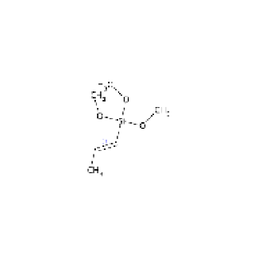 C/C=C/[Si](OC)(OC)OC